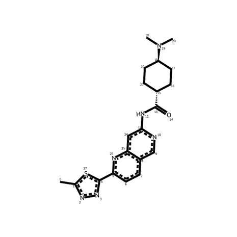 Cc1nnc(-c2ccc3cnc(NC(=O)[C@H]4CC[C@H](N(C)C)CC4)cc3n2)s1